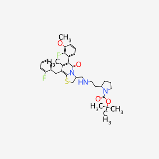 COc1cccc(-c2c(C)c(Cc3ccccc3F)c3n(c2=O)C(CNCCC2CCCN2C(=O)OC(C)(C)C)CS3)c1F